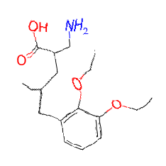 CCOc1cccc(CC(C)CC(CN)C(=O)O)c1OCC